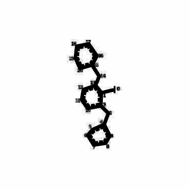 Ic1c(Cc2ccccc2)cccc1Cc1ccccc1